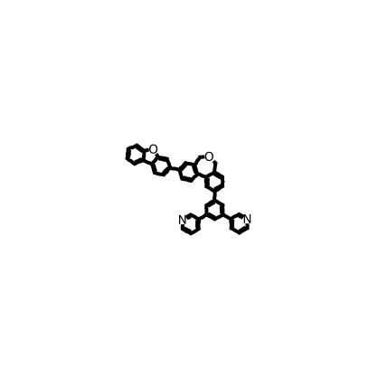 c1cncc(-c2cc(-c3cccnc3)cc(-c3ccc4c(c3)-c3ccc(-c5ccc6c(c5)oc5ccccc56)cc3COC4)c2)c1